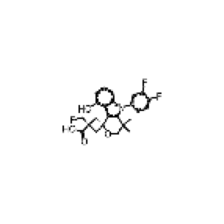 CC1(C)CO[C@]2(C[C@@](CF)(C(=O)O)C2)c2c1n(-c1ccc(F)c(F)c1)c1cccc(O)c12